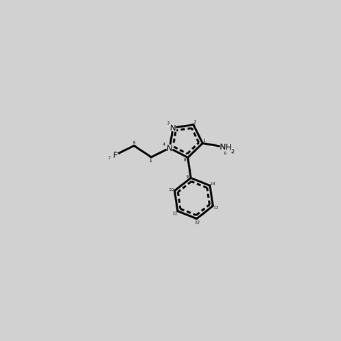 Nc1cnn(CCF)c1-c1ccccc1